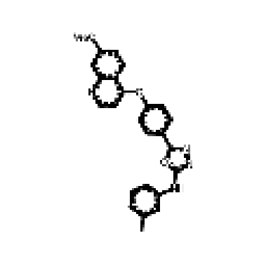 COc1ccc2c(Oc3ccc(-c4nnc(Nc5cccc(C)c5)o4)cc3)ccnc2c1